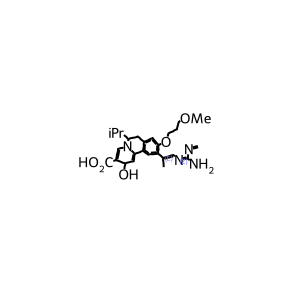 C=N/C(N)=N\C=C(/C)c1cc2c(cc1OCCCOC)CC(C(C)C)N1C=C(C(=O)O)C(O)C=C21